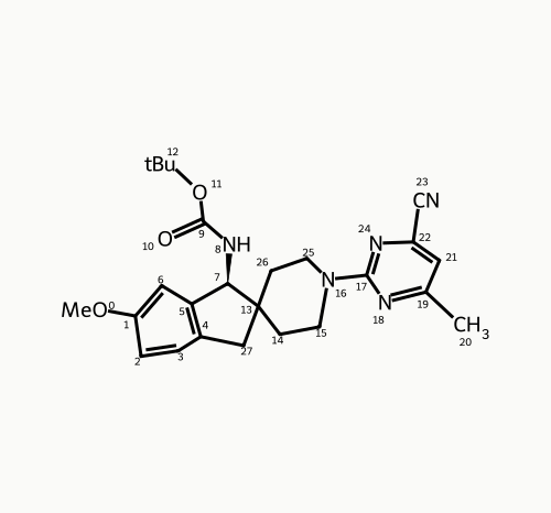 COc1ccc2c(c1)[C@@H](NC(=O)OC(C)(C)C)C1(CCN(c3nc(C)cc(C#N)n3)CC1)C2